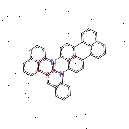 c1ccc(N(c2ccccc2)c2ccc(-c3cccc4cccc(-c5ccc(N(c6ccccc6)c6cccc7ccccc67)cc5)c34)cc2)cc1